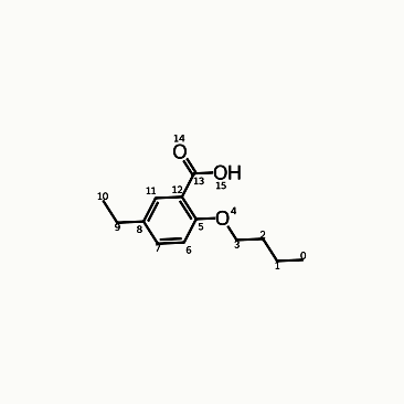 CCCCOc1ccc(CC)cc1C(=O)O